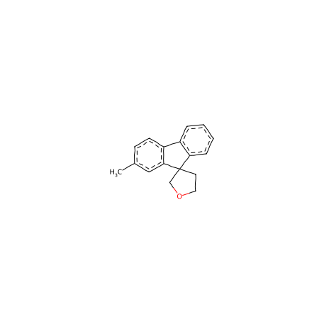 Cc1ccc2c(c1)C1(CCOC1)c1ccccc1-2